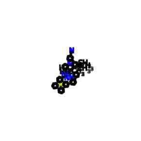 CC(C)(C)c1cc(C(C)(C)C)c2c(c1)c1cc(C#N)ccc1n2-c1cccc(-c2nc(-c3cccc(S(c4ccccc4)(c4ccccc4)c4ccccc4)c3)nc(-n3c4ccccc4c4ccccc43)n2)c1